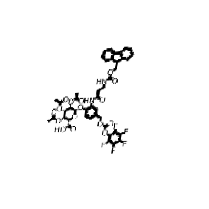 CC(=O)O[C@@H]1[C@@H](OC(C)=O)[C@H](Oc2ccc(COC(=O)Oc3c(F)c(F)c(F)c(F)c3F)cc2NC(=O)CCNC(=O)OCC2c3ccccc3-c3ccccc32)O[C@H](C(=O)O)[C@H]1OC(C)=O